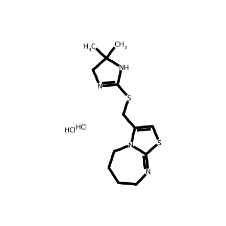 CC1(C)CN=C(SCC2=CSC3=NCCCCN23)N1.Cl.Cl